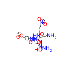 CC(C)(C)C(=O)OCc1ccc(NC(=O)[C@H](CCCNC(N)O)NC(=O)[C@H](CCCCN)NC(=O)CCCCCN2C(=O)C=CC2=O)cc1